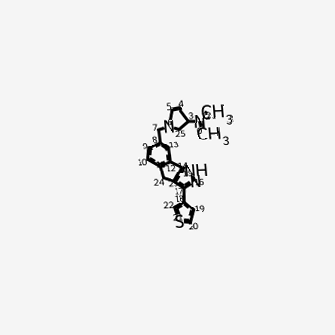 CN(C)C1CCN(Cc2ccc3c(c2)-c2[nH]nc(-c4ccsc4)c2C3)C1